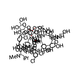 CN[C@H](CC(C)C)C(=O)N[C@H]1C(=O)N[C@@H](CC(N)=O)C(=O)N[C@H]2C(=O)N[C@H]3C(=O)N[C@H](C(=O)N[C@@H](C(=O)NNCCO)c4cc(O)cc(O)c4-c4cc3ccc4O)[C@H](O)c3ccc(c(Cl)c3)Oc3cc2cc(c3O[C@@H]2O[C@H](CO)[C@@H](O)[C@H](O)[C@H]2O[C@H]2C[C@](C)(NCc3cncc(C(=O)Nc4cc(Cl)cc(Cl)c4)c3)[C@H](O)[C@H](C)O2)Oc2ccc(cc2Cl)[C@H]1O